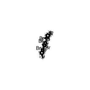 C[Si](C)(C)c1ccc2c(Br)c(-c3sc4c(Br)c(-c5oc6cc([Si](C)(C)C)ccc6c5Br)sc4c3Br)oc2c1